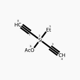 C#C[Si](C#C)(CC)OC(C)=O